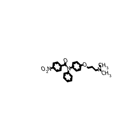 CN(C)CCCOc1ccc(N(C(=O)c2ccc([N+](=O)[O-])cc2)c2ccccc2)cc1